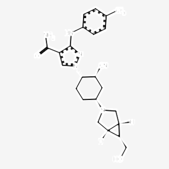 N#C[C@H]1C[C@@H](N2C[C@@H]3[C@@H](CO)[C@@H]3C2)CC[C@@H]1n1cc(C(N)=O)c(Nc2ccc(C(F)(F)F)cc2)n1